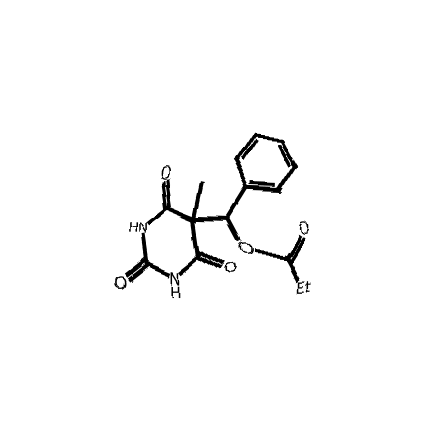 CCC(=O)OC(c1ccccc1)C1(C)C(=O)NC(=O)NC1=O